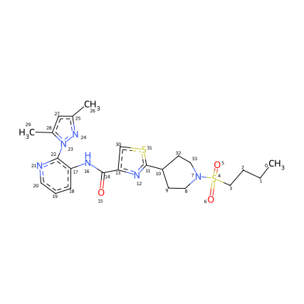 CCCCS(=O)(=O)N1CCC(c2nc(C(=O)Nc3cccnc3-n3nc(C)cc3C)cs2)CC1